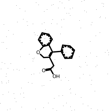 O=C(O)CC1=C(c2ccccc2)c2ccccc2OC1